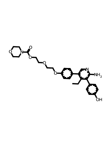 CCc1c(-c2ccc(OCCOCCOC(=O)N3CCOCC3)cc2)cnc(N)c1-c1ccc(O)cc1